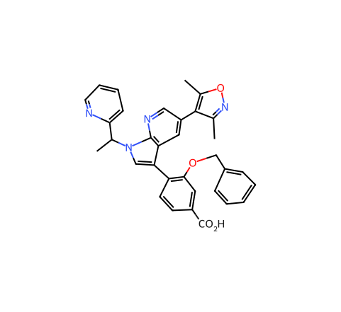 Cc1noc(C)c1-c1cnc2c(c1)c(-c1ccc(C(=O)O)cc1OCc1ccccc1)cn2C(C)c1ccccn1